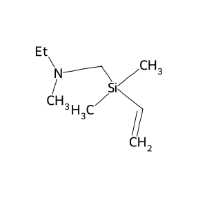 C=C[Si](C)(C)CN(C)CC